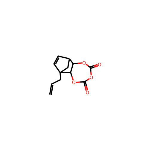 C=CCC12C=CC(C1)C1OC(=O)OC(=O)OC12